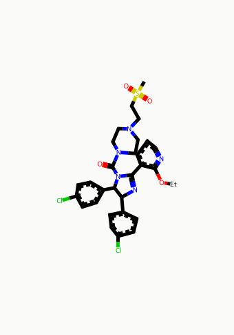 CCOc1ncccc1C1=NC(c2ccc(Cl)cc2)C(c2ccc(Cl)cc2)N1C(=O)N1CCN(CCS(C)(=O)=O)CC1